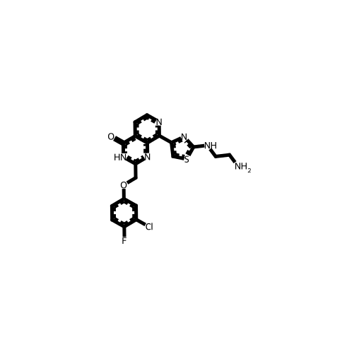 NCCNc1nc(-c2nccc3c(=O)[nH]c(COc4ccc(F)c(Cl)c4)nc23)cs1